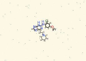 CC(C)Oc1ccc(Nc2nc(CCN3CCCCC3)c3ncnc-3[nH]2)c(Cl)c1